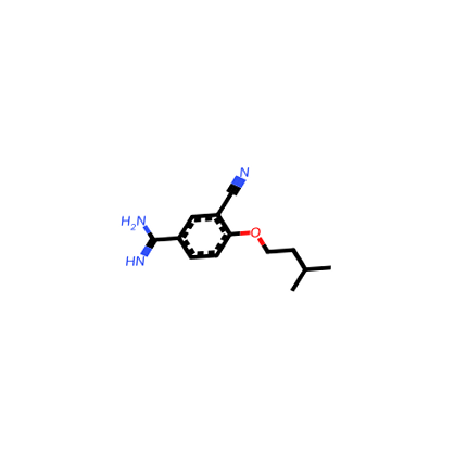 CC(C)CCOc1ccc(C(=N)N)cc1C#N